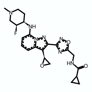 CN1CC[C@@H](Nc2cccc3c([C@H]4CO4)c(-c4noc(CNC(=O)C5CC5)n4)nn23)[C@@H](F)C1